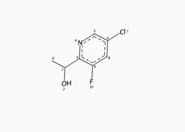 CC(O)c1ncc(Cl)cc1F